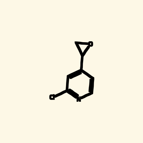 Clc1cc(C2CO2)ccn1